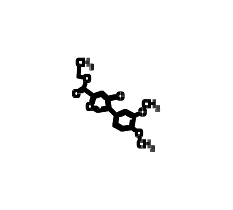 CCOC(=O)c1cc(=O)c(-c2ccc(OC)c(OC)c2)co1